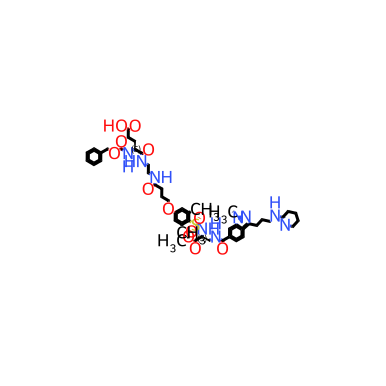 COC(=O)[C@H](CNC(=O)c1ccc2c(CCCNC3=NCCCC3)nn(C)c2c1)NS(=O)(=O)c1c(C)cc(OCCCC(=O)NCCNC(=O)[C@H](CCC(=O)O)NC(=O)OCc2ccccc2)cc1C